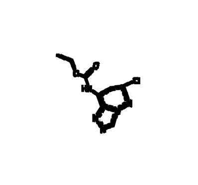 CCOC(=O)Nc1cc(Cl)nn2cnnc12